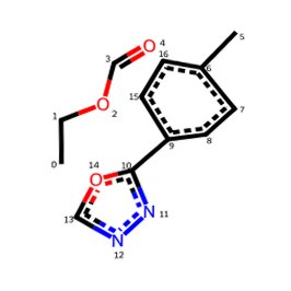 CCOC=O.Cc1ccc(-c2nnco2)cc1